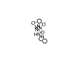 O=C(Nc1ccc2ccccc2n1)c1nnn(-c2c(Cl)cccc2Cl)n1